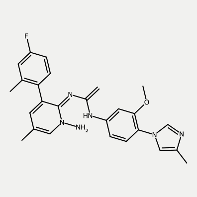 C=C(/N=c1/c(-c2ccc(F)cc2C)cc(C)cn1N)Nc1ccc(-n2cnc(C)c2)c(OC)c1